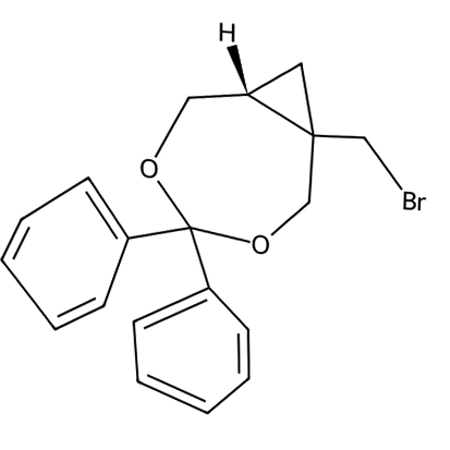 BrCC12COC(c3ccccc3)(c3ccccc3)OC[C@@H]1C2